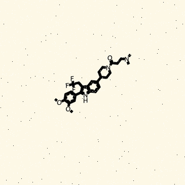 COc1ccc(-c2[nH]c3ccc(C4CCN(C(=O)CCN(C)C)CC4)cc3c2CC(F)(F)F)cc1OC